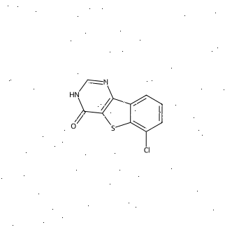 O=c1[nH]cnc2c1sc1c(Cl)cccc12